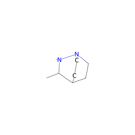 CC1[N]N2CCC1CC2